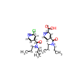 CCCN(CCC)C(=O)c1ccnc(C(=O)O)c1.CCCN(CCC)C(=O)c1ccnc(Cl)c1